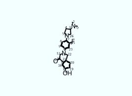 CN(C)C1CCN(c2ccc(N3CC(=O)c4cc(O)ccc4C3)cc2F)C1